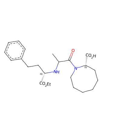 CCOC(=O)[C@H](CCc1ccccc1)NC(C)C(=O)N1CCCCCC[C@H]1C(=O)O